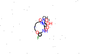 CN1CN2C(=O)CCC/C=C/CCOc3cc(F)ccc3CNC(=O)c3cn2c(c(O)c3=O)C1=O